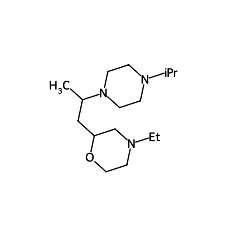 CCN1CCOC(CC(C)N2CCN(C(C)C)CC2)C1